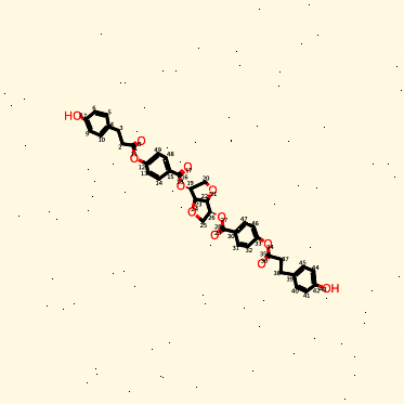 O=C(CCc1ccc(O)cc1)Oc1ccc(C(=O)O[C@@H]2COC3C2OC[C@H]3OC(=O)c2ccc(OC(=O)CCc3ccc(O)cc3)cc2)cc1